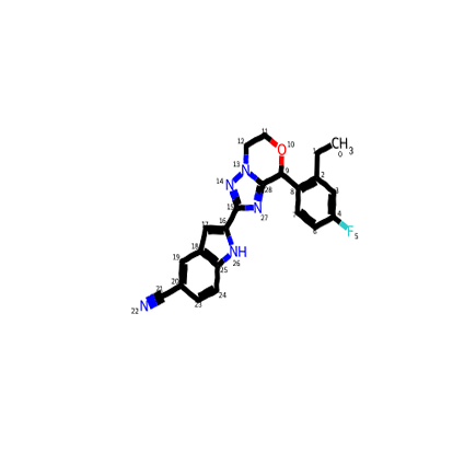 CCc1cc(F)ccc1C1OCCn2nc(-c3cc4cc(C#N)ccc4[nH]3)nc21